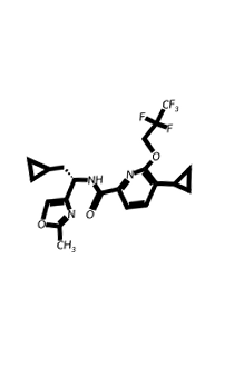 Cc1nc([C@H](CC2CC2)NC(=O)c2ccc(C3CC3)c(OCC(F)(F)C(F)(F)F)n2)co1